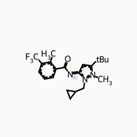 Cc1c(C(=O)/N=c2\cc(C(C)(C)C)n(C)n2CC2CC2)cccc1C(F)(F)F